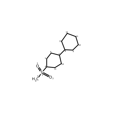 CS(=O)(=O)C1CCC(C2CCCCC2)CC1